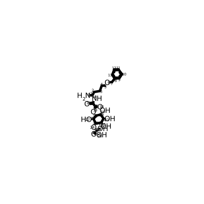 NC(CCCCOCc1ccccc1)NC(=O)C(=O)O[C@@H]1[C@H](O)[C@H](OP(=O)(O)O)[C@@H](O)[C@H](O)[C@H]1O